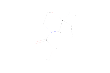 CCOC(=O)C1(CC(C)=O)CN(C(=O)OC(C)(C)C)CCO1